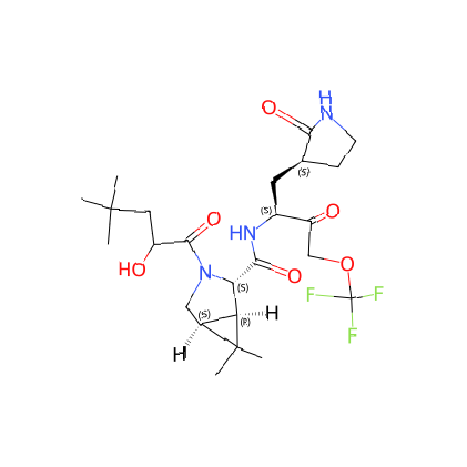 CC(C)(C)CC(O)C(=O)N1C[C@H]2[C@@H]([C@H]1C(=O)N[C@@H](C[C@@H]1CCNC1=O)C(=O)COC(F)(F)F)C2(C)C